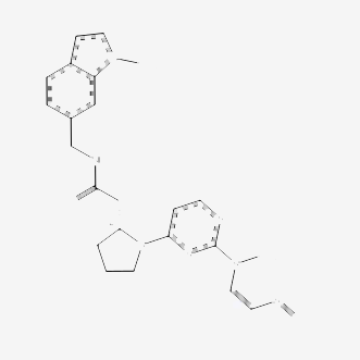 C=N/C=C\N(C)c1nccc(N2CCC[C@@H]2CC(=O)NCc2ccc3ccn(C)c3c2)n1